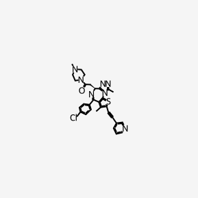 Cc1c(C#Cc2cccnc2)sc2c1C(c1ccc(Cl)cc1)=N[C@@H](CC(=O)N1CCN(C)CC1)c1nnc(C)n1-2